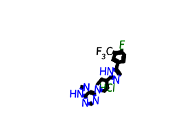 Cl.Fc1ccc(-c2cnc(C3CCN(c4ncnc5[nH]cnc45)CC3)[nH]2)cc1C(F)(F)F